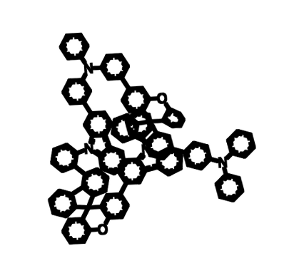 c1ccc(N(c2ccccc2)c2ccc(-c3ccc4c(c3)C3(c5ccccc5Oc5cc(-c6cccc(N(c7ccccc7)c7cccc(-c8ccc9c%10ccccc%10n(-c%10ccccc%10-c%10cccc%11c%10-c%10ccccc%10C%11%10c%11ccccc%11Oc%11ccc(-c%12ccc%13c(c%12)c%12ccccc%12n%13-c%12ccccc%12)cc%11%10)c9c8)c7)c6)ccc53)c3ccccc3-4)cc2)cc1